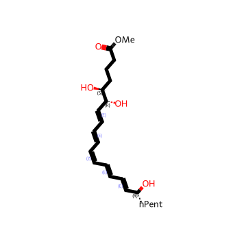 CCCCC[C@@H](O)/C=C/C=C/C=C\C=C\C=C\[C@@H](O)[C@@H](O)CCCC(=O)OC